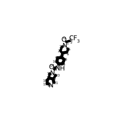 O=C(CC(F)(F)F)N1CC=C(c2ccc(NC(=O)N3Cc4ccncc4C3)cc2)CC1